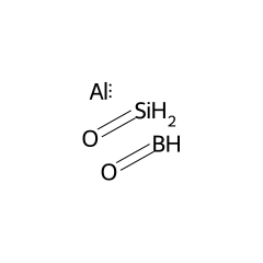 B=O.O=[SiH2].[Al]